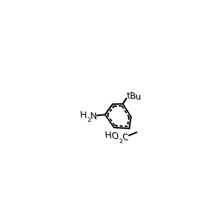 CC(=O)O.CC(C)(C)c1cccc(N)c1